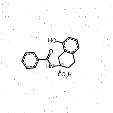 O=C(N[C@]1(C(=O)O)CCc2cccc(O)c2C1)c1ccccc1